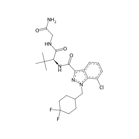 CC(C)(C)[C@H](NC(=O)c1nn(CC2CCC(F)(F)CC2)c2c(Cl)cccc12)C(=O)NCC(N)=O